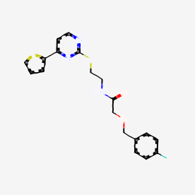 O=C(COCc1ccc(F)cc1)NCCSc1nccc(-c2cccs2)n1